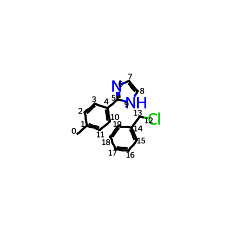 Cc1ccc(-c2ncc[nH]2)cc1.ClCc1ccccc1